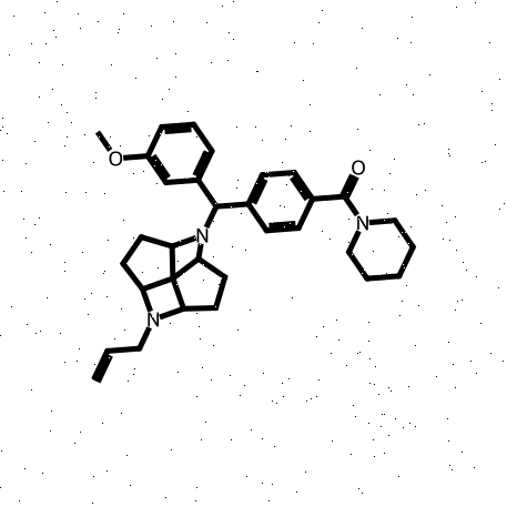 C=CCN1C2CCC3N(C(c4ccc(C(=O)N5CCCCC5)cc4)c4cccc(OC)c4)C4CCC1C234